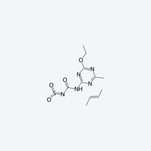 CC=CC.CCOc1nc(C)nc(NC(=O)N=S(=O)=O)n1